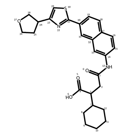 O=C(CC(C(=O)O)C1CCCCC1)Nc1ccc2ccc(-c3nc(C4CCOC4)cs3)cc2c1